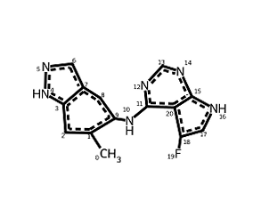 Cc1cc2[nH]ncc2cc1Nc1ncnc2[nH]cc(F)c12